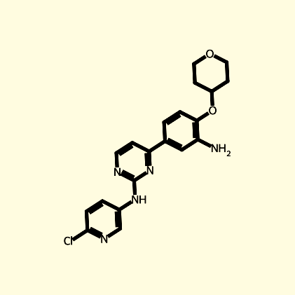 Nc1cc(-c2ccnc(Nc3ccc(Cl)nc3)n2)ccc1OC1CCOCC1